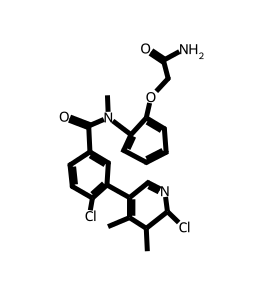 CC1=C(c2cc(C(=O)N(C)c3ccccc3OCC(N)=O)ccc2Cl)C=NC(Cl)C1C